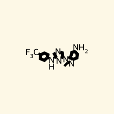 Cc1nc2ccc(N)cc2n1-c1cncc(Nc2ccc(C(F)(F)F)cc2)n1